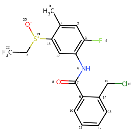 Cc1cc(F)c(NC(=O)c2ccccc2CCl)cc1[S+]([O-])CC(F)(F)F